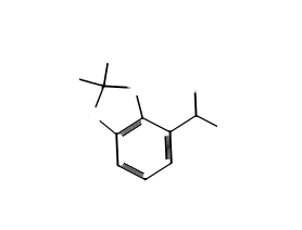 FC1(F)Oc2cccc(C(Cl)Cl)c2O1